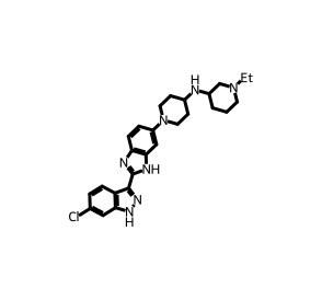 CCN1CCCC(NC2CCN(c3ccc4nc(-c5n[nH]c6cc(Cl)ccc56)[nH]c4c3)CC2)C1